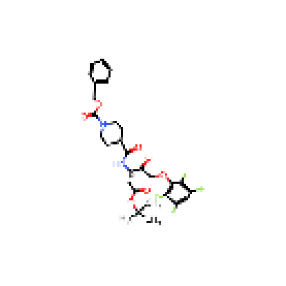 CC(C)(C)OC(=O)C[C@H](NC(=O)C1CCN(C(=O)OCc2ccccc2)CC1)C(=O)COc1c(F)c(F)cc(F)c1F